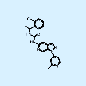 Cc1cc(-n2ncc3cc(NC(=O)NC(C)c4ccccc4Cl)ncc32)ccn1